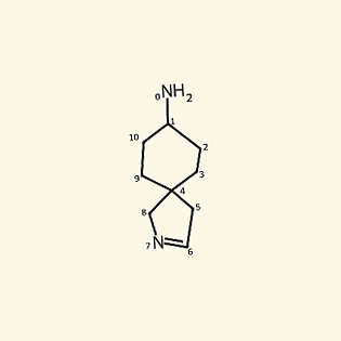 NC1CCC2(CC=NC2)CC1